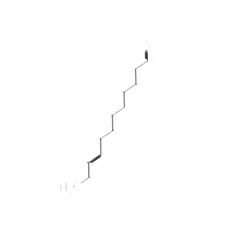 CC/C=C/CCCCCCC[C]=O